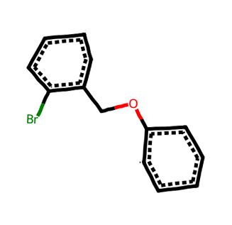 Brc1ccccc1COc1[c]cccc1